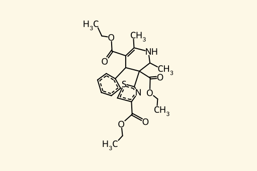 CCOC(=O)C1=C(C)NC(C)C(C(=O)OCC)(c2nc(C(=O)OCC)cs2)C1c1ccccc1